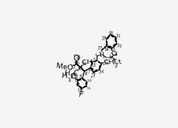 CC[C@@H]1CN(Cc2cc(C(c3ccc(F)cc3C)C(C)(C)C(=O)OC)ccc2C)Cc2ccccc2O1